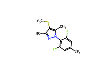 Cc1c(SC(F)(F)F)c(C#N)nn1-c1c(F)cc(C(F)(F)F)cc1F